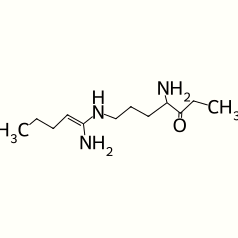 CCC/C=C(\N)NCCCC(N)C(=O)CC